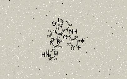 O=C(Nc1ccc(F)c(C(=O)c2ccc3nc(C4CNCCO4)cnc3c2)c1F)c1ccc(F)c(F)c1